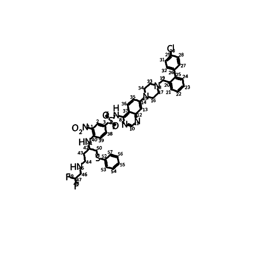 O=[N+]([O-])c1cc(S(=O)(=O)Nc2ncnc3cc(N4CCN(Cc5ccccc5-c5ccc(Cl)cc5)CC4)ccc23)ccc1NC(CCNCC(F)F)CSc1ccccc1